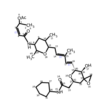 CC(=O)OC(C)/C=C\C(=O)NC1CC(C)C(C/C=C(C)/C=C/[C@H]2O[C@H](CC(=O)NC3CCCCC3)CC3(CO3)[C@@H]2O)OC1C